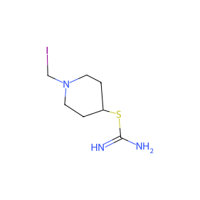 N=C(N)SC1CCN(CI)CC1